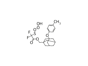 Cc1ccc(OC23CC4CC(CC(COC(=O)C(F)(F)SOOO)(C4)C2)C3)cc1